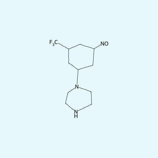 O=NC1CC(N2CCNCC2)CC(C(F)(F)F)C1